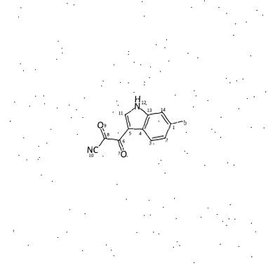 Cc1ccc2c(C(=O)C(=O)C#N)c[nH]c2c1